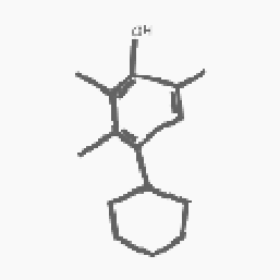 Cc1cc(C2CCCCC2)c(C)c(C)c1O